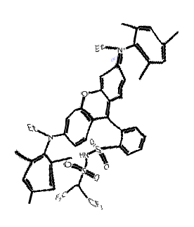 CCN(c1ccc2c(-c3ccccc3S(=O)(=O)NS(=O)(=O)C(C(F)(F)F)C(F)(F)F)c3cc/c(=[N+](/CC)c4c(C)cc(C)cc4C)cc-3oc2c1)c1c(C)cc(C)cc1C